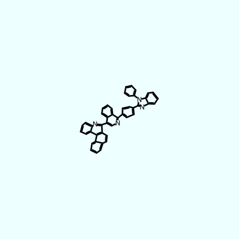 c1ccc(-n2c(-c3ccc(-c4ncc(-c5nc6ccccc6c6c5ccc5ccccc56)c5ccccc45)cc3)nc3ccccc32)cc1